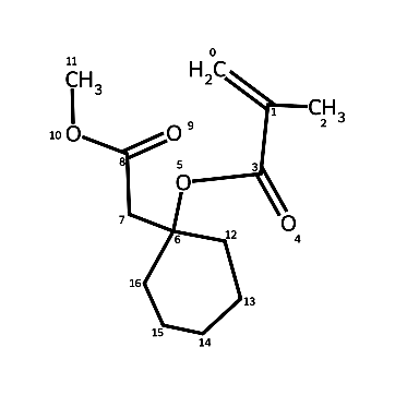 C=C(C)C(=O)OC1(CC(=O)OC)CCCCC1